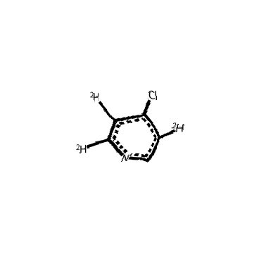 [2H]c1cnc([2H])c([2H])c1Cl